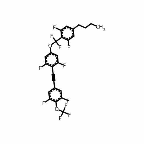 CCCCc1cc(F)c(C(F)(F)Oc2cc(F)c(C#Cc3cc(F)c(OC(F)(F)F)c(F)c3)c(F)c2)c(F)c1